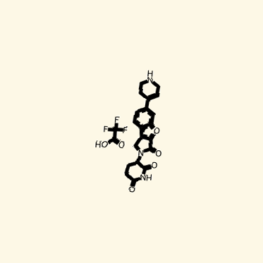 O=C(O)C(F)(F)F.O=C1CCC(N2Cc3c(oc4cc(C5=CCNCC5)ccc34)C2=O)C(=O)N1